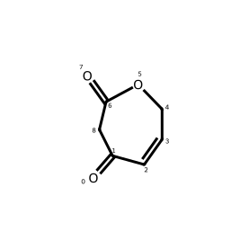 O=C1C=CCOC(=O)C1